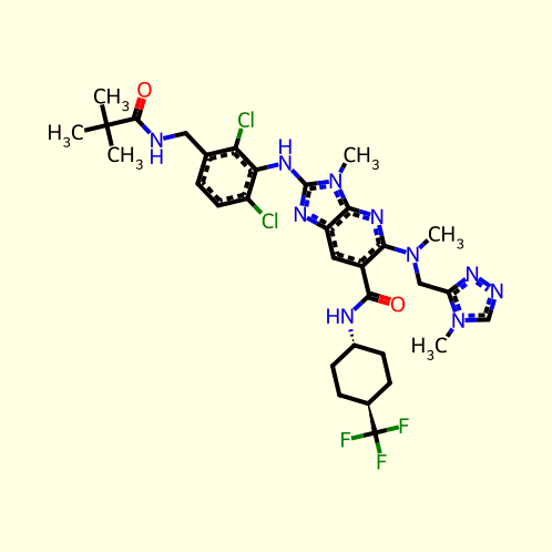 CN(Cc1nncn1C)c1nc2c(cc1C(=O)N[C@H]1CC[C@H](C(F)(F)F)CC1)nc(Nc1c(Cl)ccc(CNC(=O)C(C)(C)C)c1Cl)n2C